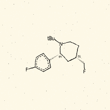 CC(C)(C)N1CC[C@H](CF)C[C@@H]1c1ccc(F)cc1